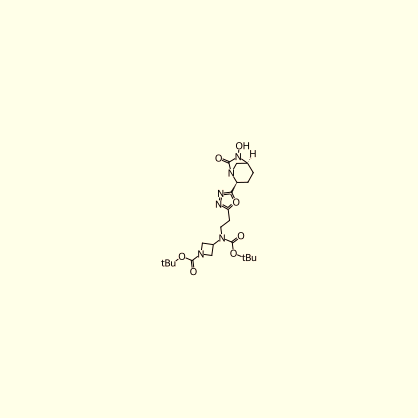 CC(C)(C)OC(=O)N1CC(N(CCc2nnc([C@@H]3CC[C@H]4CN3C(=O)N4O)o2)C(=O)OC(C)(C)C)C1